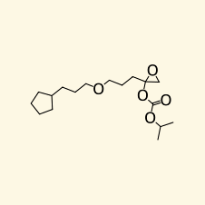 CC(C)OC(=O)OC1(CCCOCCCC2CCCC2)CO1